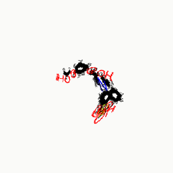 CC(O)COc1cccc(OCC(O)CN(c2ccc(S(=O)(=O)O)c3ccccc23)C(C)(C)C)c1